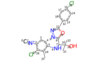 [C-]#[N+]c1ccc(N[C@@H](c2nnc(-c3ccc(Cl)cc3)o2)C(C)(C)O)c(C)c1Cl